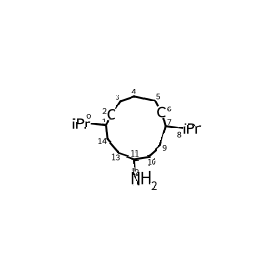 CC(C)C1CCCCCC(C(C)C)CCC(N)CC1